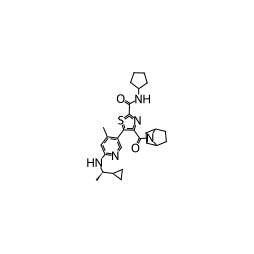 Cc1cc(N[C@H](C)C2CC2)ncc1-c1sc(C(=O)NC2CCCC2)nc1C(=O)N1C2CCC1CC2